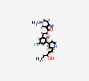 CCC(O)c1cc2nccc(-c3cc(Cl)cc4c3O[C@@H](c3onc5c3CN(C)CC5)C4)c2s1